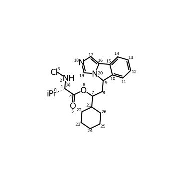 CC(C)[C@H](NCl)C(=O)OC(CC1c2ccccc2-c2cncn21)C1CCCCC1